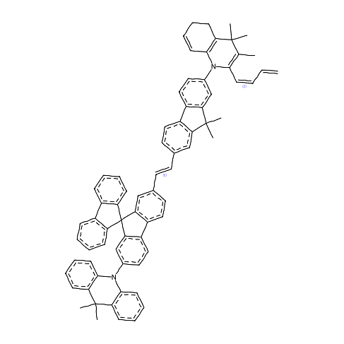 C=C/C=C\C1=C(C)C(C)(C)C2=C(C=CCC2)N1c1ccc2c(c1)C(C)(C)c1cc(/C=C/c3ccc4c(c3)C3(c5ccccc5-c5ccccc53)c3cc(N5c6ccccc6C(C)(C)c6ccccc65)ccc3-4)ccc1-2